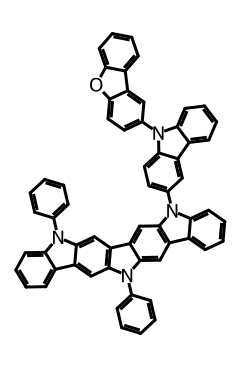 c1ccc(-n2c3ccccc3c3cc4c(cc32)c2cc3c(cc2n4-c2ccccc2)c2ccccc2n3-c2ccc3c(c2)c2ccccc2n3-c2ccc3oc4ccccc4c3c2)cc1